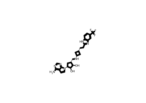 Nc1ncnc2c1ccn2[C@@H]1C[C@H](CN[C@H]2C[C@@H](CCc3nc4cc(C(F)(F)F)ccc4[nH]3)C2)[C@@H](O)[C@H]1O